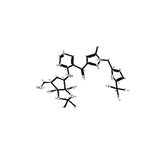 Cc1cc(C(=O)c2cncnc2NC2C[C@H](CO)[C@H]3OC(C)(C)O[C@@H]23)nn1Cc1ccc(C(F)(F)F)o1